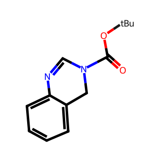 CC(C)(C)OC(=O)N1C=Nc2ccccc2C1